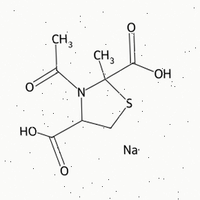 CC(=O)N1C(C(=O)O)CSC1(C)C(=O)O.[Na]